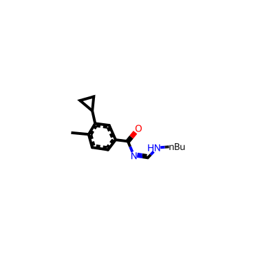 CCCCN/C=N\C(=O)c1ccc(C)c(C2CC2)c1